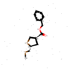 CC(=O)SC[C@H]1C[C@H](C(=O)OCc2ccccc2)CS1